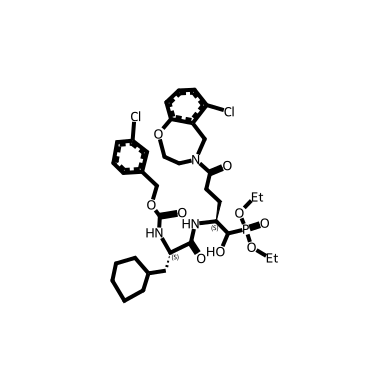 CCOP(=O)(OCC)C(O)[C@H](CCC(=O)N1CCOc2cccc(Cl)c2C1)NC(=O)[C@H](CC1CCCCC1)NC(=O)OCc1cccc(Cl)c1